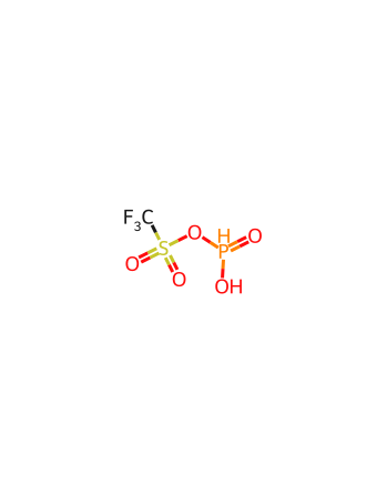 O=[PH](O)OS(=O)(=O)C(F)(F)F